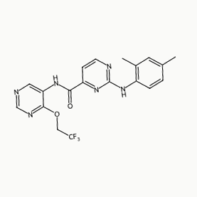 Cc1ccc(Nc2nccc(C(=O)Nc3cncnc3OCC(F)(F)F)n2)c(C)c1